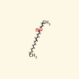 CCCCCCCCC=CCCCC(=O)OCCCC